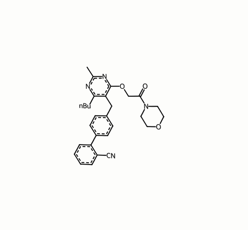 CCCCc1nc(C)nc(OCC(=O)N2CCOCC2)c1Cc1ccc(-c2ccccc2C#N)cc1